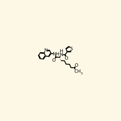 CC(=O)CCCCC[C@@H](NC(=O)c1ccsc1)C(=O)Nc1cnc2ccccc2c1